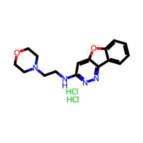 Cl.Cl.c1ccc2c(c1)oc1cc(NCCN3CCOCC3)nnc12